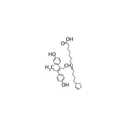 CC/C(=C(/CC)c1ccc(O)cc1)c1ccc(O)cc1.O=C(O)CCCCCCCCCCCCC1C=CCC1